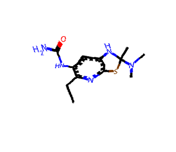 CCc1nc2c(cc1NC(N)=O)NC(C)(N(C)C)S2